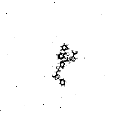 Cc1oc(-c2ccccc2)nc1CCOc1ccc(C(Cc2nc(C(C)C)co2)Nc2ccccc2C(=O)c2ccccc2)cc1